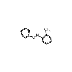 FC(F)(F)c1ccccc1[N]Oc1ccccc1